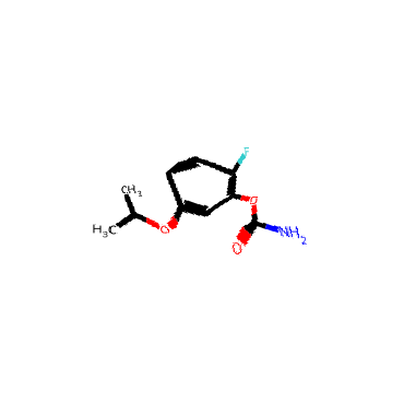 CC(C)Oc1ccc(F)c(OC(N)=O)c1